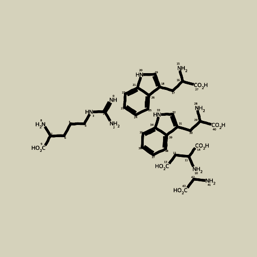 N=C(N)NCCCC(N)C(=O)O.NC(CC(=O)O)C(=O)O.NC(Cc1c[nH]c2ccccc12)C(=O)O.NC(Cc1c[nH]c2ccccc12)C(=O)O.NCC(=O)O